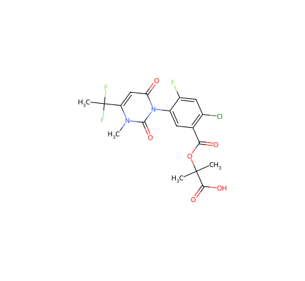 Cn1c(C(C)(F)F)cc(=O)n(-c2cc(C(=O)OC(C)(C)C(=O)O)c(Cl)cc2F)c1=O